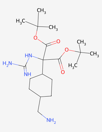 CC(C)(C)OC(=O)C(NC(=N)N)(C(=O)OC(C)(C)C)C1CCC(CN)CC1